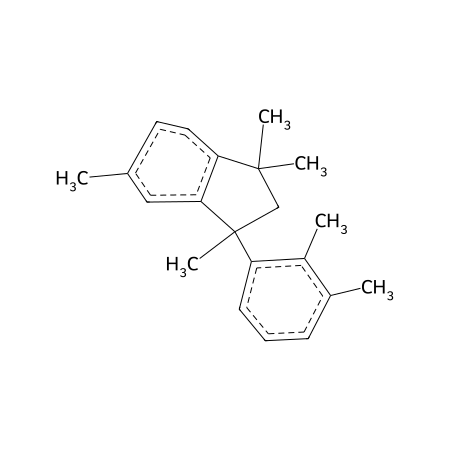 Cc1ccc2c(c1)C(C)(c1cccc(C)c1C)CC2(C)C